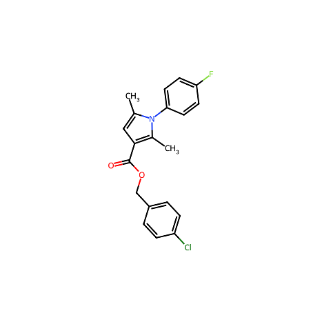 Cc1cc(C(=O)OCc2ccc(Cl)cc2)c(C)n1-c1ccc(F)cc1